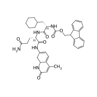 CC1=CC(=O)NC2CC(NC(=O)[C@H](CCC(N)=O)NC(=O)[C@H](CC3CCCCC3)NC(=O)OCC3c4ccccc4-c4ccccc43)=CC=C12